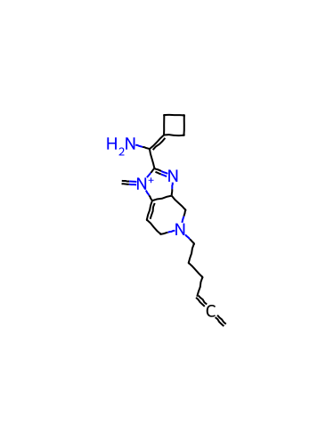 C=C=CCCCN1CC=C2C(C1)N=C(C(N)=C1CCC1)[N+]2=C